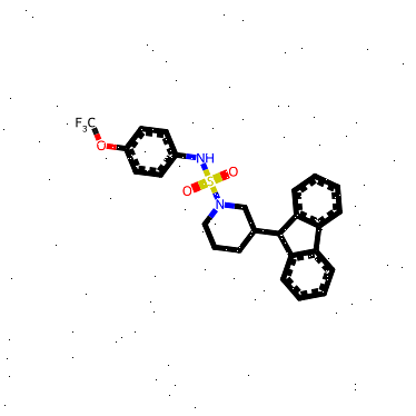 O=S(=O)(Nc1ccc(OC(F)(F)F)cc1)N1CCCC(C2c3ccccc3-c3ccccc32)C1